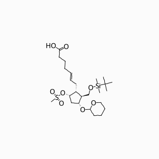 CC(C)(C)[Si](C)(C)OC[C@@H]1[C@@H](CC=CCCCC(=O)O)[C@@H](OS(C)(=O)=O)C[C@H]1OC1CCCCO1